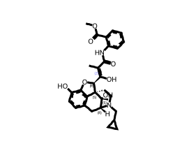 COC(=O)c1ccccc1NC(=O)/C(C)=C(\O)[C@@H]1Oc2c(O)ccc3c2[C@@]12CCN(CC1CC1)[C@H](C3)[C@@]2(C)O